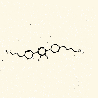 CCCCCC1CCC(c2ccc(C3C=CC(CCCC)CC3)c(F)c2F)CC1